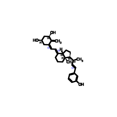 C=C1/C(=C\C=C2/CCC[C@]3(C)[C@@H]([C@@H](C)/C=C/c4cccc(O)c4)CC[C@@H]23)C[C@@H](O)C[C@@H]1O